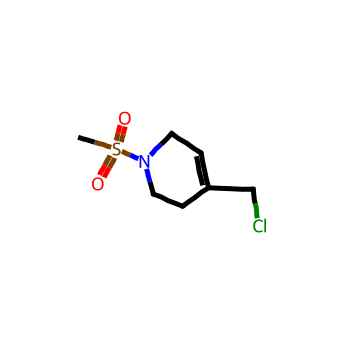 CS(=O)(=O)N1CC=C(CCl)CC1